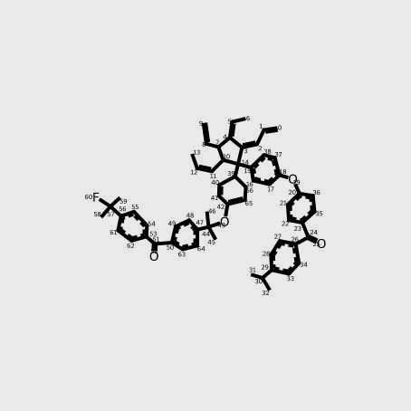 C=C/C=C1\C(=C/C)C(C=C)C(/C=C\C)C1(c1ccc(Oc2ccc(C(=O)c3ccc(C(C)C)cc3)cc2)cc1)C1C=CC(OC(C)(C)c2ccc(C(=O)c3ccc(C(C)(C)F)cc3)cc2)=CC1